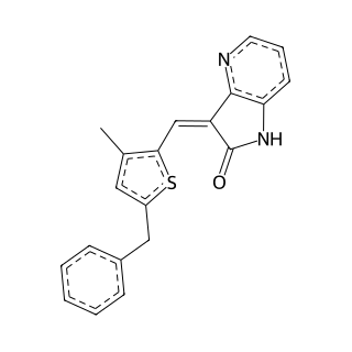 Cc1cc(Cc2ccccc2)sc1C=C1C(=O)Nc2cccnc21